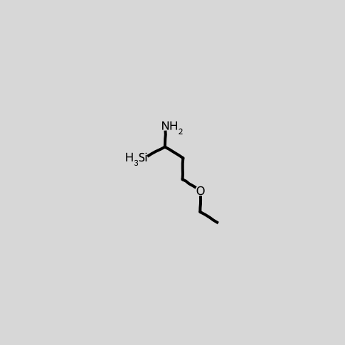 CCOCCC(N)[SiH3]